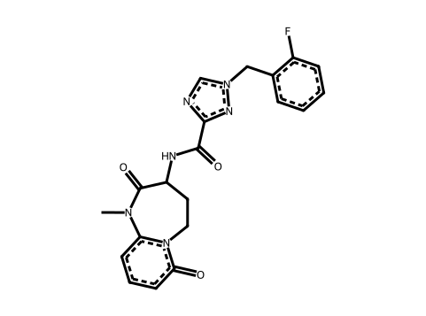 CN1C(=O)C(NC(=O)c2ncn(Cc3ccccc3F)n2)CCn2c1cccc2=O